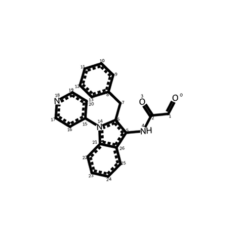 O=CC(=O)Nc1c(Cc2ccccc2)n(-c2ccncc2)c2ccccc12